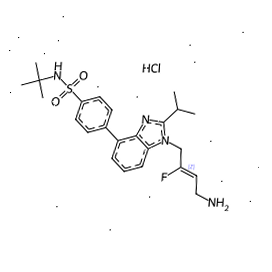 CC(C)c1nc2c(-c3ccc(S(=O)(=O)NC(C)(C)C)cc3)cccc2n1C/C(F)=C/CN.Cl